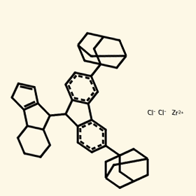 C1=CC2=C(C1)C1CCCCC1C2C1c2ccc(C34CC5CC(CC(C5)C3)C4)cc2-c2cc(C34CC5CC(CC(C5)C3)C4)ccc21.[Cl-].[Cl-].[Zr+2]